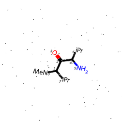 CNC(C(=O)C(N)C(C)C)C(C)C